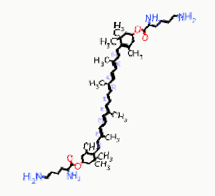 CC1=C(/C=C/C(C)=C/C=C/C(C)=C/C=C/C=C(C)/C=C/C=C(C)/C=C/C2=C(C)CC(OC(=O)C(N)CCCCN)CC2(C)C)C(C)(C)CC(OC(=O)C(N)CCCCN)C1